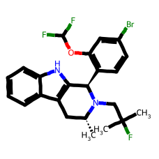 C[C@@H]1Cc2c([nH]c3ccccc23)[C@@H](c2ccc(Br)cc2OC(F)F)N1CC(C)(C)F